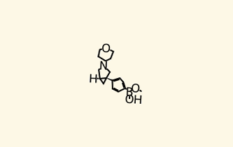 COB(O)c1ccc([C@@]23C[C@@H]2CN(C2CCOCC2)C3)cc1